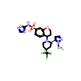 Cn1nccc1[C@H]1C[C@@H](C(F)(F)F)CCN1C1CCOc2cc(S(=O)(=O)Nc3ncns3)ccc21